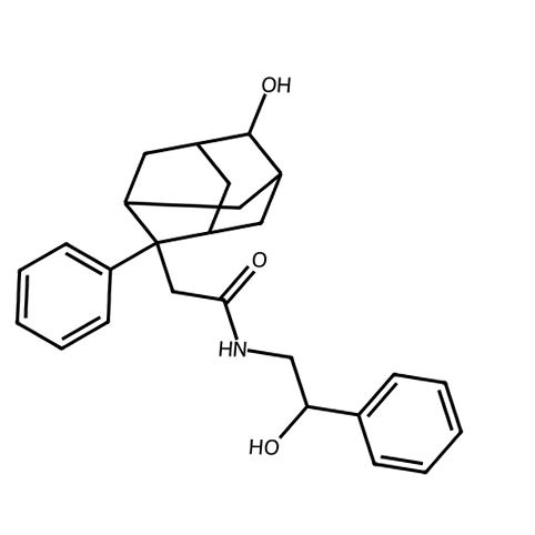 O=C(CC1(c2ccccc2)C2CC3CC1CC(C2)C3O)NCC(O)c1ccccc1